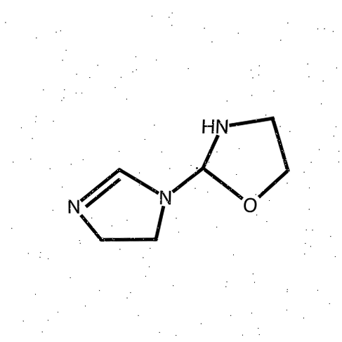 C1=NCCN1[C]1NCCO1